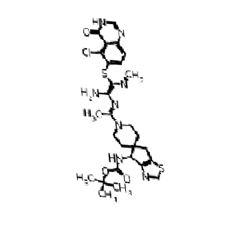 C=N/C(Sc1ccc2nc[nH]c(=O)c2c1Cl)=C(N)\N=C(/C)N1CCC2(CC1)Cc1scnc1[C@H]2NC(=O)OC(C)(C)C